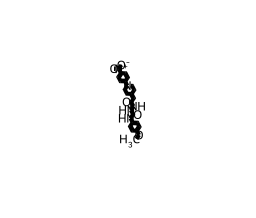 COc1ccc(NC(=O)NNC(=O)C=C2CCN(c3ccc([N+](=O)[O-])cc3)CC2)cc1